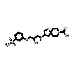 NS(=O)(=O)c1cccc(OCC(O)CNC2COC3(CCN(C(=O)O)CC3)C2)c1